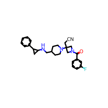 N#CCC1(N2CCC(CNC3CC3c3ccccc3)CC2)CN(C(=O)c2cccc(F)c2)C1